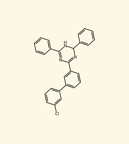 Clc1cccc(-c2cccc(C3=NC(c4ccccc4)NC(c4ccccc4)=N3)c2)c1